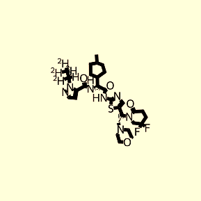 [2H]C([2H])([2H])C([2H])([2H])n1nccc1C(=O)N[C@H](C(=O)Nc1ncc([C@@H](CN2CCOCC2)N2CC(F)(F)CCC2=O)s1)C1CCC(C)CC1